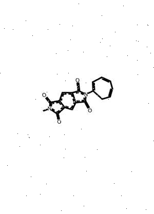 Cn1c(=O)c2cc3c(=O)n(C4=CC=CC=CC4)c(=O)c3cc2c1=O